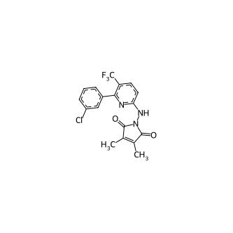 CC1=C(C)C(=O)N(Nc2ccc(C(F)(F)F)c(-c3cccc(Cl)c3)n2)C1=O